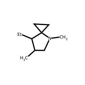 CCC1C(C)CN(C)C12CC2